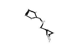 C1=CCC(OCC2CO2)C1